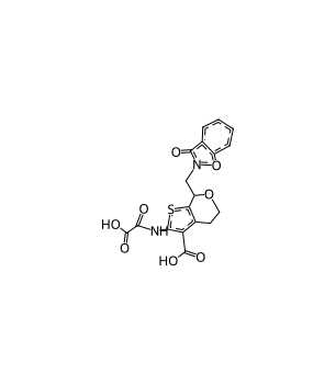 O=C(O)C(=O)Nc1sc2c(c1C(=O)O)CCOC2Cn1oc2ccccc2c1=O